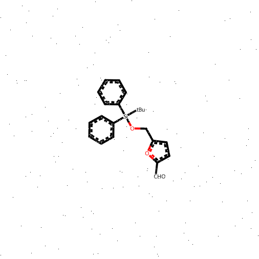 CC(C)(C)[Si](OCc1ccc(C=O)o1)(c1ccccc1)c1ccccc1